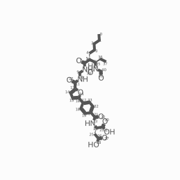 CCCCC[C@@H](C(=O)NCNC(=O)c1ccc(-c2ccc(C(=O)N[C@@H](CC(=O)O)C(=O)O)cc2)o1)[C@@H](CC)N(O)C=O